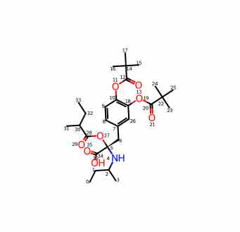 CCC(C)N[C@@](Cc1ccc(OC(=O)C(C)(C)C)c(OC(=O)C(C)(C)C)c1)(OC(=O)C(C)CC)C(=O)O